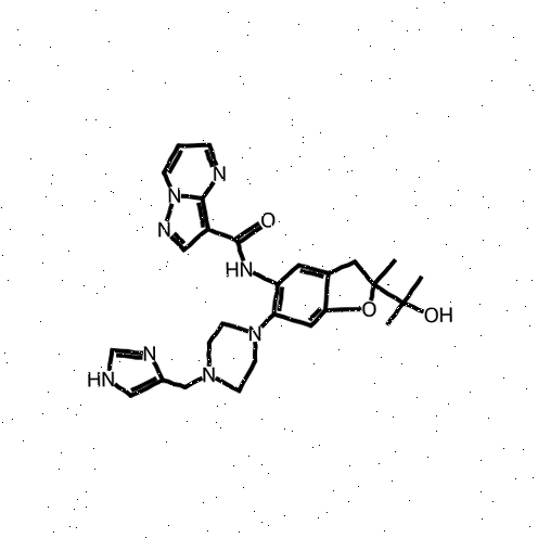 CC(C)(O)C1(C)Cc2cc(NC(=O)c3cnn4cccnc34)c(N3CCN(Cc4c[nH]cn4)CC3)cc2O1